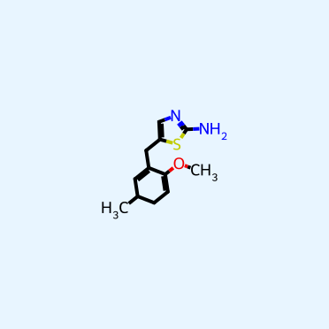 COC1=CCC(C)C=C1Cc1cnc(N)s1